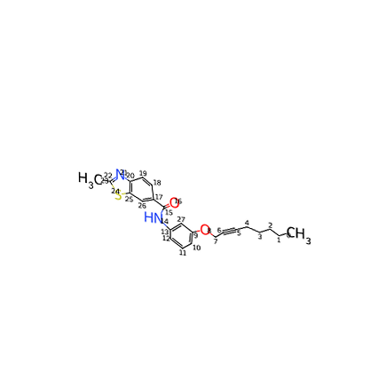 CCCCCC#CCOc1cccc(NC(=O)c2ccc3nc(C)sc3c2)c1